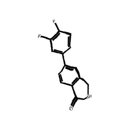 O=C1NCc2cc(-c3ccc(F)c(F)c3)ccc21